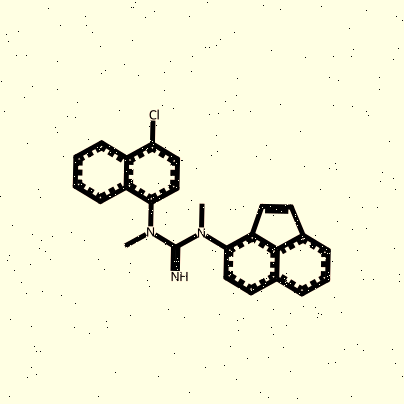 CN(C(=N)N(C)c1ccc(Cl)c2ccccc12)c1ccc2cccc3c2c1C=C3